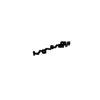 O=C(O)NCCOCCOCCI